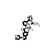 CC(C)n1cnnc1-c1cccc(NC(=O)c2cc3c(ccn3C3CCOC3)cc2F)n1